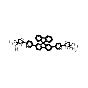 CC1(C)COC(c2ccc(-c3ccc4c(c3)C3(c5ccccc5-c5ccccc53)c3cc(-c5ccc(C6=NC(C)(C)CO6)nc5)ccc3-4)cn2)=N1